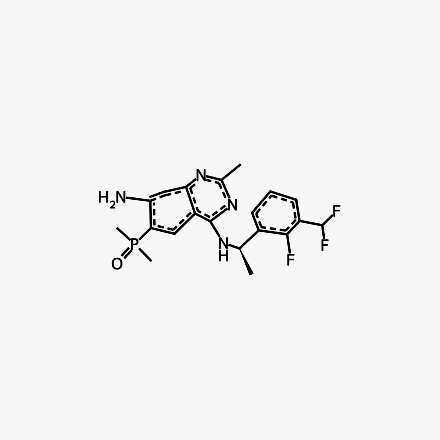 Cc1nc(N[C@H](C)c2cccc(C(F)F)c2F)c2cc(P(C)(C)=O)c(N)cc2n1